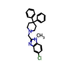 Cn1c(CN2CCC(c3ccccc3)(c3ccccc3)CC2)nc2cc(Cl)ccc21